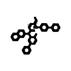 C=C(/C=C\C(=C/C)Nc1ccc(-c2ccccc2)cc1)N(c1ccc2ccccc2c1)C1C=C(c2ccccc2)C=CC1C